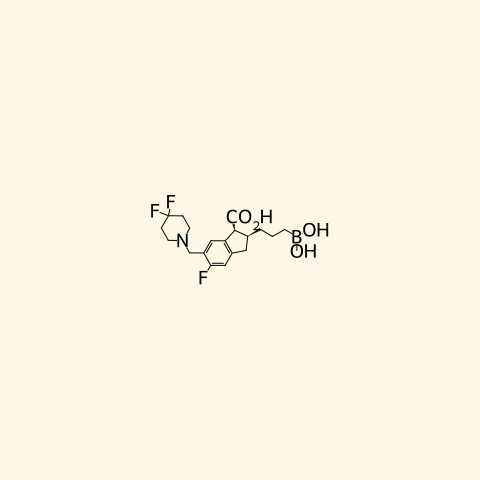 O=C(O)[C@@H]1c2cc(CN3CCC(F)(F)CC3)c(F)cc2C[C@@H]1CCCB(O)O